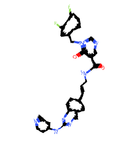 O=C(NC/C=C/c1ccc2nc(Nc3ccncc3)ncc2c1)c1cncn(Cc2ccc(F)c(F)c2)c1=O